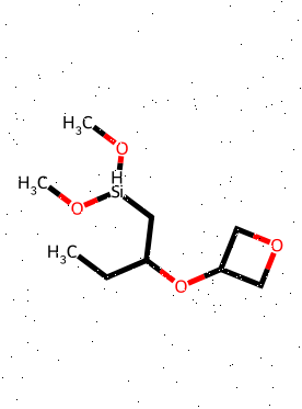 CCC(C[SiH](OC)OC)OC1COC1